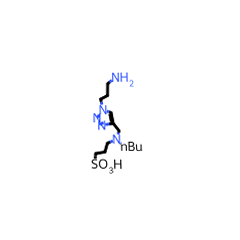 CCCCN(CCCS(=O)(=O)O)Cc1cn(CCCN)nn1